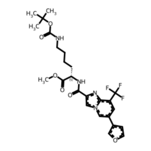 COC(=O)[C@H](CCCCNC(=O)OC(C)(C)C)NC(=O)c1cn2cc(-c3ccoc3)cc(C(F)(F)F)c2n1